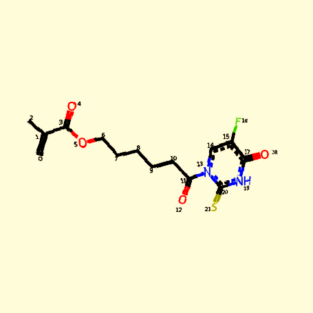 C=C(C)C(=O)OCCCCCC(=O)n1cc(F)c(=O)[nH]c1=S